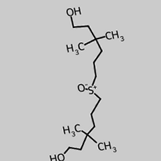 CC(C)(CCO)CCC[S+]([O-])CCCC(C)(C)CCO